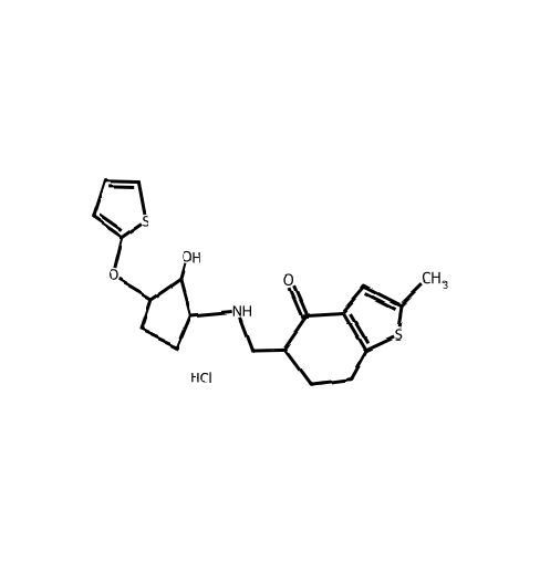 Cc1cc2c(s1)CCC(CNC1CCC(Oc3cccs3)C1O)C2=O.Cl